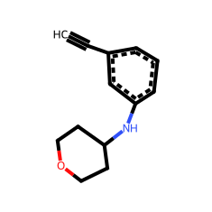 C#Cc1cccc(NC2CCOCC2)c1